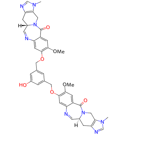 COc1cc2c(cc1OCc1cc(O)cc(COc3cc4c(cc3OC)C(=O)N3Cc5c(ncn5C)C[C@H]3C=N4)c1)N=C[C@@H]1Cc3ncn(C)c3CN1C2=O